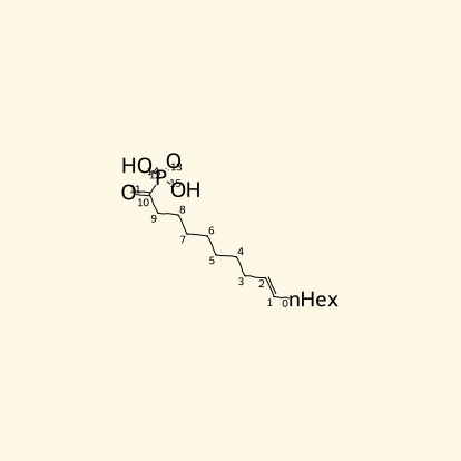 CCCCCCC=CCCCCCCCC(=O)P(=O)(O)O